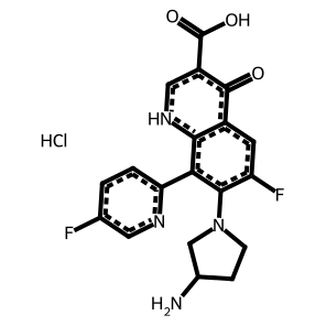 Cl.NC1CCN(c2c(F)cc3c(=O)c(C(=O)O)c[nH]c3c2-c2ccc(F)cn2)C1